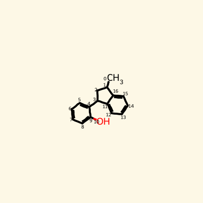 CC1CC(c2ccccc2O)c2ccccc21